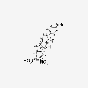 CCCCc1ccc(-c2ccc3c4c([nH]c3c2F)-c2cc([N+](=O)[O-])c(C(=O)O)cc2C4)cc1